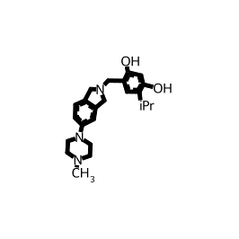 CC(C)c1cc(CN2Cc3ccc(N4CCN(C)CC4)cc3C2)c(O)cc1O